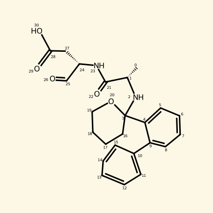 C[C@H](NC1(c2ccccc2-c2ccccc2)CCCCO1)C(=O)N[C@H](C=O)CC(=O)O